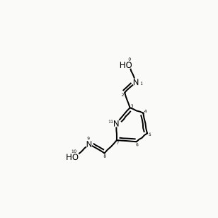 ON=Cc1cccc(C=NO)n1